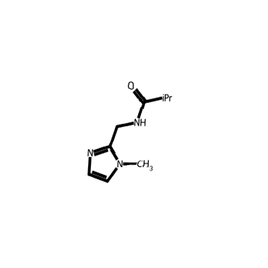 CC(C)C(=O)NCc1nccn1C